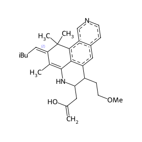 C=C(O)CC1NC2=C(C)/C(=C\C(C)CC)C(C)(C)c3c2c(cc2ccncc32)C1CCOC